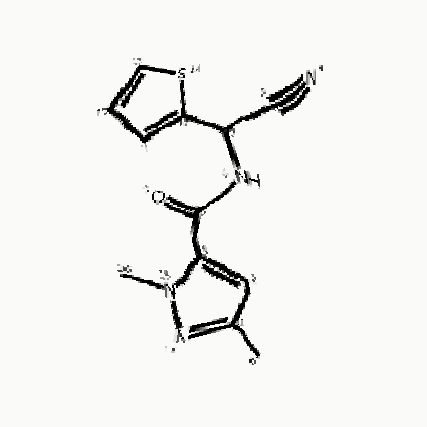 Cc1cc(C(=O)NC(C#N)c2cccs2)n(C)n1